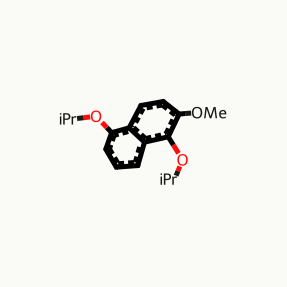 COc1ccc2c(OC(C)C)cccc2c1OC(C)C